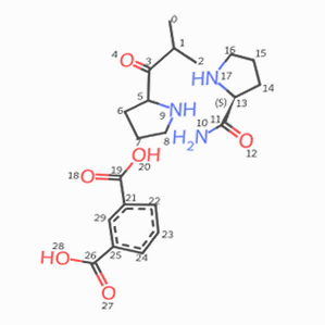 CC(C)C(=O)C1CCCN1.NC(=O)[C@@H]1CCCN1.O=C(O)c1cccc(C(=O)O)c1